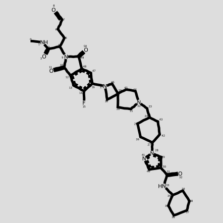 CNC(=O)C(CCC=O)N1C(=O)c2cc(F)c(N3CC4(CCN(CC5CCC(n6cc(C(=O)NC7CCCCC7)cn6)CC5)CC4)C3)cc2C1=O